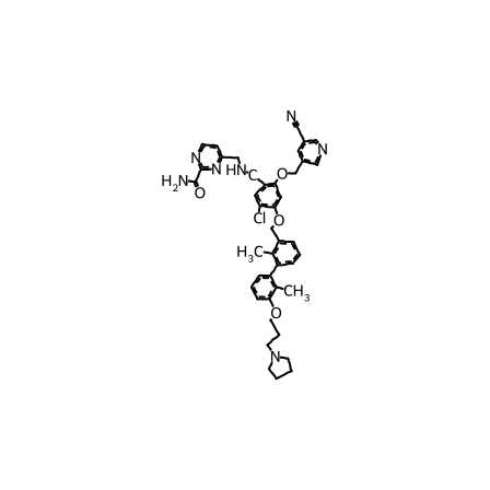 Cc1c(COc2cc(OCc3cncc(C#N)c3)c(CNCc3ccnc(C(N)=O)n3)cc2Cl)cccc1-c1cccc(OCCCN2CCCC2)c1C